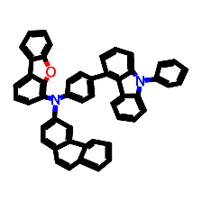 c1ccc(-n2c3ccccc3c3c(-c4ccc(N(c5ccc6ccc7ccccc7c6c5)c5cccc6c5oc5ccccc56)cc4)cccc32)cc1